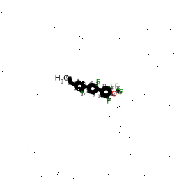 CC=Cc1ccc(-c2ccc(-c3cc(F)c(OC(F)F)c(F)c3)c(F)c2)c(F)c1